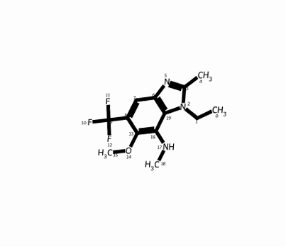 CCn1c(C)nc2cc(C(F)(F)F)c(OC)c(NC)c21